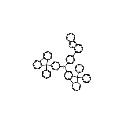 C1=CC2c3ccc(N(c4ccc(-c5cccc6c5sc5ccccc56)cc4)c4ccc(C5(c6ccccc6)c6ccccc6-c6ccccc65)cc4)cc3C(c3ccccc3)(c3ccccc3)C2C=C1